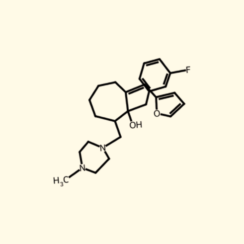 CN1CCN(CC2CCCCC(=Cc3ccco3)C2(O)Cc2cccc(F)c2)CC1